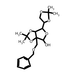 CC1(C)OCC(C2OC(O)C3(COCc4ccccc4)OC(C)(C)OC23)O1